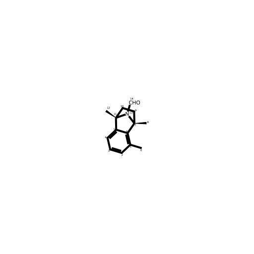 Cc1cccc2c1[C@@]1(C)CC[C@]2(C)N1C=O